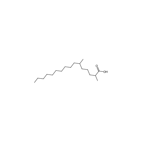 CCCCCCCCCCC(C)CCCC(C)C(=O)O